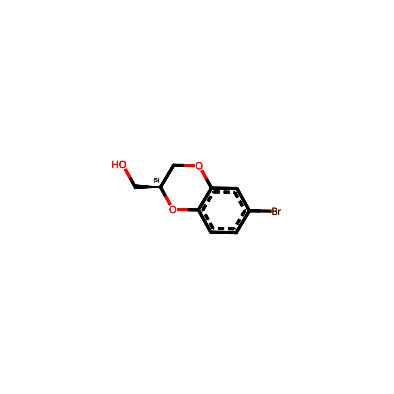 OC[C@H]1COc2cc(Br)ccc2O1